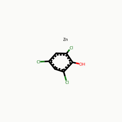 Oc1c(Cl)cc(Cl)cc1Cl.[Zn]